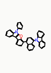 c1ccc(-n2c3ccccc3c3c4cccc(-c5ccc(-n6c7ccccc7c7ccccc76)c6ccccc56)c4oc32)cc1